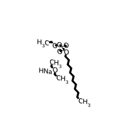 CCCCCCCCCCCCOS(=O)(=O)OOCC.CCOCC.[NaH]